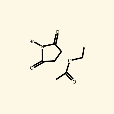 CCOC(C)=O.O=C1CCC(=O)N1Br